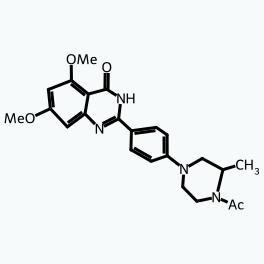 COc1cc(OC)c2c(=O)[nH]c(-c3ccc(N4CCN(C(C)=O)C(C)C4)cc3)nc2c1